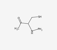 CC(=O)C(CS)NP